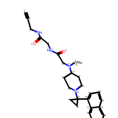 C#CCNC(=O)CNC(=O)CN(SC)C1CCN(C2(c3cccc4ccccc34)CC2)CC1